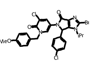 COc1ccc(Cn2cc(N3C(=O)c4nc(Br)n(C(C)C)c4C3c3ccc(Cl)cc3)cc(Cl)c2=O)cc1